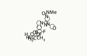 CNC(=O)N1CCc2c(c(N3CCCc4cc(B5OC(C)(C)C(C)(C)O5)c(C(F)F)cc43)nn2C2CCOCC2)C1